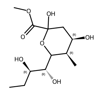 CC[C@@H](O)[C@@H](O)C1OC(O)(C(=O)OC)C[C@@H](O)[C@H]1C